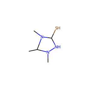 CC1N(C)NC(S)N1C